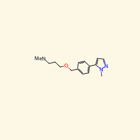 CNCCCOCc1ccc(-c2ccnn2C)cc1